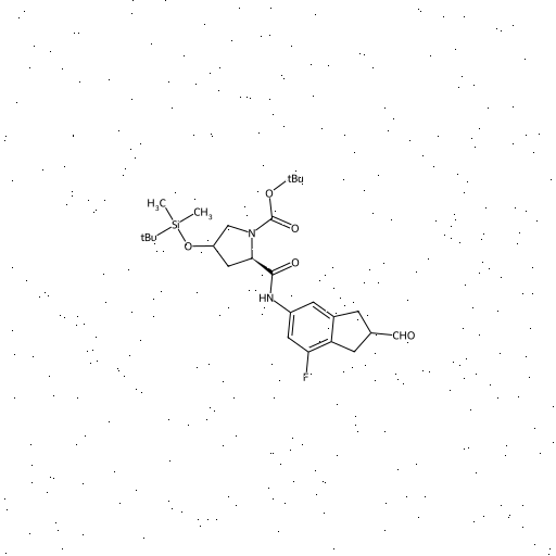 CC(C)(C)OC(=O)N1CC(O[Si](C)(C)C(C)(C)C)C[C@@H]1C(=O)Nc1cc(F)c2c(c1)CC(C=O)C2